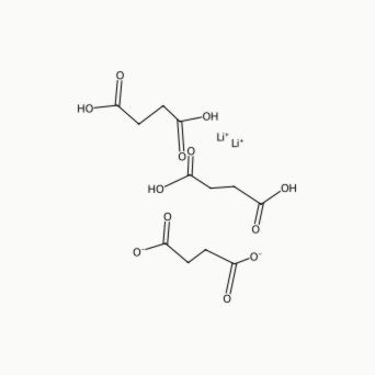 O=C(O)CCC(=O)O.O=C(O)CCC(=O)O.O=C([O-])CCC(=O)[O-].[Li+].[Li+]